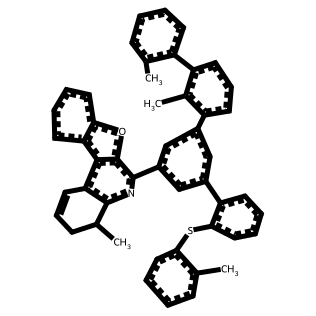 Cc1ccccc1Sc1ccccc1-c1cc(-c2cccc(-c3ccccc3C)c2C)cc(-c2nc3c(c4c2oc2ccccc24)C=CCC3C)c1